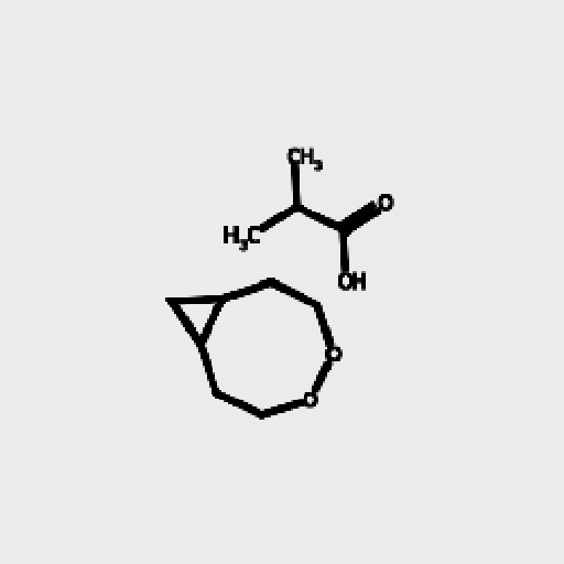 C1CC2CC2CCOO1.CC(C)C(=O)O